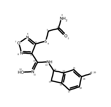 NC(=O)CSc1nonc1/C(=N\O)NC1Cc2ccc(F)cc21